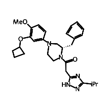 COc1ccc(N2CCN(C(=O)Cc3nc(C(C)C)n[nH]3)[C@@H](Cc3ccccc3)C2)cc1OC1CCC1